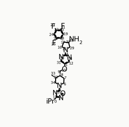 CC(C)c1noc(N2CC[C@H](COc3cnc(N4C[C@H](c5cc(F)c(F)cc5F)[C@@H](N)C4)nc3)[C@H](C)C2)n1